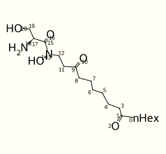 CCCCCCC(=O)CCCCCCC(=O)CCN(O)C(=O)[C@@H](N)CO